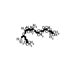 CCC(CCCC(C)(C)C)OCCC(C)(C)/C=C/C(C)(N)OCCC(C)(C)OCCC(=O)C(C)(C)OCCC(C)(C)O